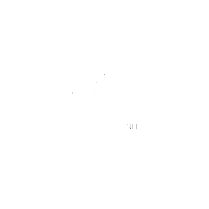 O=[SH](=O)c1cc[nH]c1